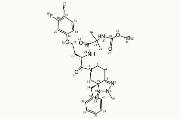 CN1N=C2CCN(C(=O)[C@@H](CCOc3ccc(F)c(F)c3)NC(=O)C(C)(C)NC(=O)OC(C)(C)C)C[C@@]2(Cc2ccccc2)C1=O